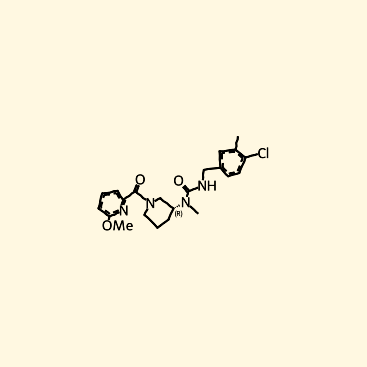 COc1cccc(C(=O)N2CCC[C@@H](N(C)C(=O)NCc3ccc(Cl)c(C)c3)C2)n1